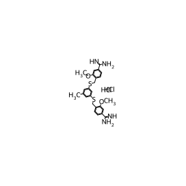 COc1cc(C(=N)N)ccc1CSc1cc(C)cc(SCc2ccc(C(=N)N)cc2OC)c1.Cl.Cl